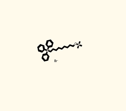 C[Si](C)(C)OCCCCCCCCC[P+](c1ccccc1)(c1ccccc1)c1ccccc1.[Br-]